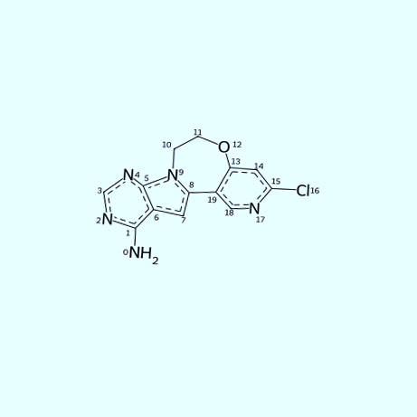 Nc1ncnc2c1cc1n2CCOc2cc(Cl)ncc2-1